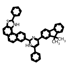 CC1(C)c2ccccc2-c2ccc(C3=NC(c4ccc5c(ccc6ccc7c(c65)NC(c5ccccc5)S7)c4)NC(c4ccccc4)=C3)cc21